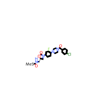 CSC(=O)NC[C@H]1CN(c2ccc(N3CCN(C(=O)c4ccc(Cl)cc4)CC3)c(F)c2)C(=O)O1